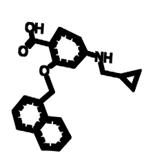 O=C(O)c1ccc(NCC2CC2)cc1OCc1cccc2ccccc12